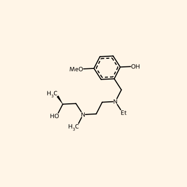 CCN(CCN(C)C[C@H](C)O)Cc1cc(OC)ccc1O